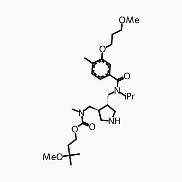 COCCCOc1cc(C(=O)N(C[C@@H]2CNC[C@H]2CN(C)C(=O)OCCC(C)(C)OC)C(C)C)ccc1C